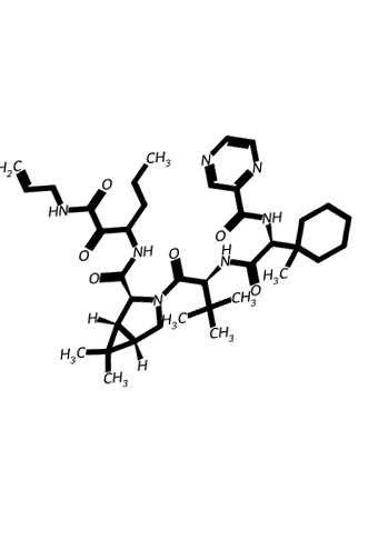 C=CCNC(=O)C(=O)C(CCC)NC(=O)[C@@H]1[C@@H]2[C@H](CN1C(=O)[C@@H](NC(=O)[C@@H](NC(=O)c1cnccn1)C1(C)CCCCC1)C(C)(C)C)C2(C)C